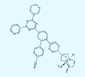 C[C@@]12CC3(c4ccc(-c5ccc(-c6nc(-c7ccccc7)nc(-c7ccccc7)n6)cc5-c5ccc(C#N)cc5)cc4)C[C@H]1CC[C@H]2C3